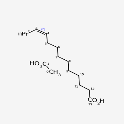 CC(=O)O.CCC/C=C\CCCCCCCCC(=O)O